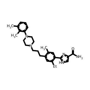 CCc1cc(CCCN2CCN(c3cccc(C)c3C)CC2)c(C)cc1-c1nc(C(N)=O)c[nH]1